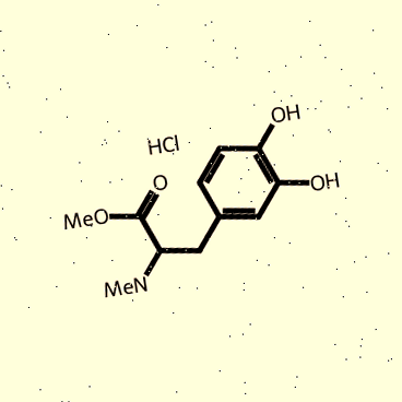 CNC(Cc1ccc(O)c(O)c1)C(=O)OC.Cl